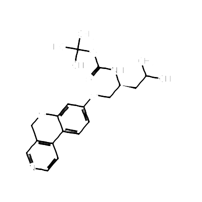 CC(C)C[C@@H](COc1ccc2c(c1)OCc1cnccc1-2)NC(=O)OC(C)(C)C